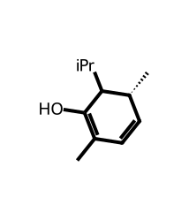 CC1=C(O)C(C(C)C)[C@H](C)C=C1